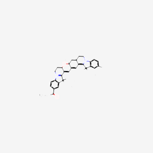 COC(=O)c1ccc2c(c1)C(C)(C)C1=[N+]2CCC2O[C@H]3C[C@H]4CCN5C(=C4C=C3C=C12)C(C)(C)c1cc(S(=O)(=O)O)ccc15